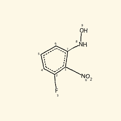 O=[N+]([O-])c1c(F)cccc1NO